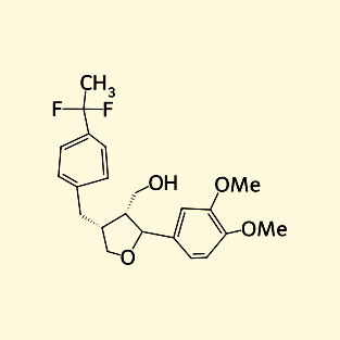 COc1ccc(C2OC[C@H](Cc3ccc(C(C)(F)F)cc3)[C@@H]2CO)cc1OC